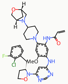 C=CC(=O)Nc1cc(Nc2cc(N3OCC[C@@H]3Cc3cccc(F)c3Cl)ncn2)c(OC)cc1N1CCC(N2C[C@@H]3C[C@H]2CO3)CC1